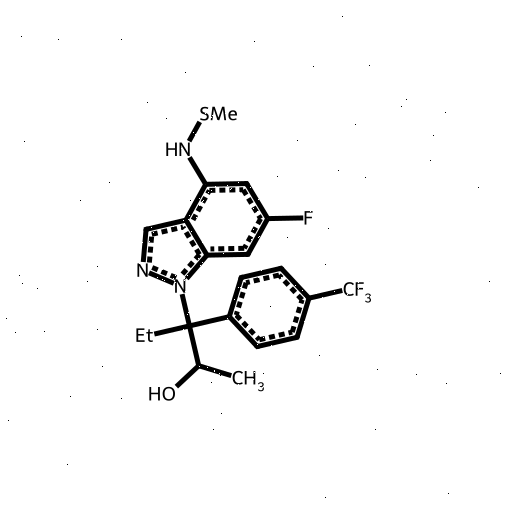 CCC(c1ccc(C(F)(F)F)cc1)(C(C)O)n1ncc2c(NSC)cc(F)cc21